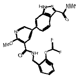 CNC(=O)c1n[nH]c2cc(-c3cnc(OC)c(C(=O)NCc4ccccc4OC(F)F)c3)ccc12